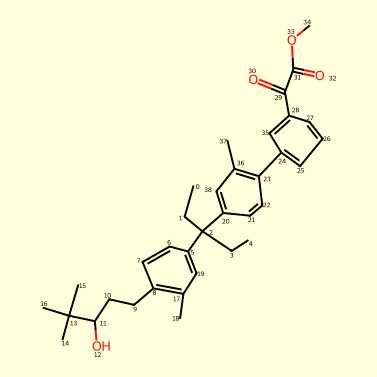 CCC(CC)(c1ccc(CCC(O)C(C)(C)C)c(C)c1)c1ccc(-c2cccc(C(=O)C(=O)OC)c2)c(C)c1